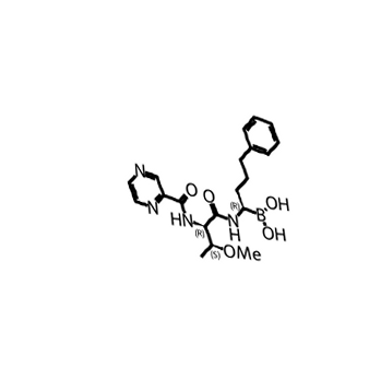 CO[C@@H](C)[C@@H](NC(=O)c1cnccn1)C(=O)N[C@@H](CCCc1ccccc1)B(O)O